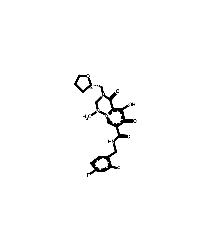 CN1CN(C[C@@H]2CCCO2)C(=O)c2c(O)c(=O)c(C(=O)NCc3ccc(F)cc3F)cn21